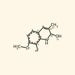 COc1ccc2c(c1F)NC(O)C(C)=C2